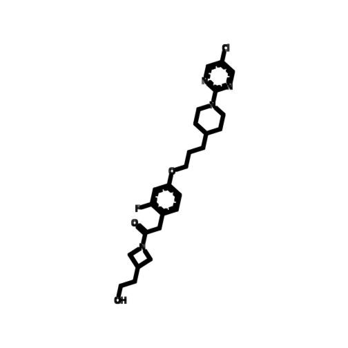 O=C(Cc1ccc(OCCCC2CCN(c3ncc(Cl)cn3)CC2)cc1F)N1CC(CCO)C1